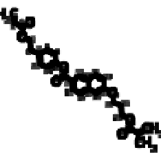 C=CC(=O)OCCc1ccc(OC(=O)c2ccc3cc(OCCCOC(=O)C(=C)C)ccc3c2)cc1